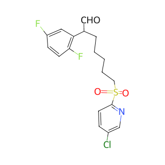 O=CC(CCCCCS(=O)(=O)c1ccc(Cl)cn1)c1cc(F)ccc1F